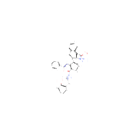 O=C(N[C@H](CO)Cc1ccccc1)c1ccc2c(c1/C=C/c1ccccc1)-c1cc(c3ccccc3c1)C(=O)N2